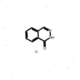 O=c1[nH]ncc2ccccc12.[Li]